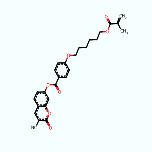 C=C(C)C(=O)OCCCCCCOc1ccc(C(=O)Oc2ccc3cc(C#N)c(=O)oc3c2)cc1